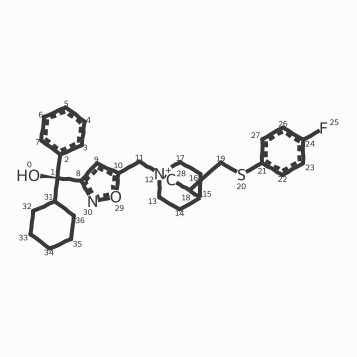 O[C@@](c1ccccc1)(c1cc(C[N+]23CCC(CC2)C(CSc2ccc(F)cc2)C3)on1)C1CCCCC1